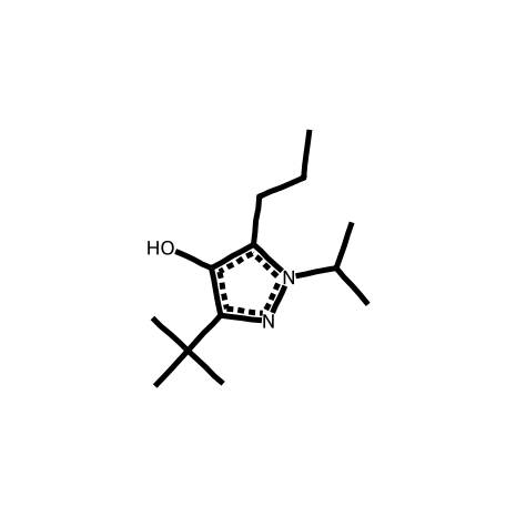 CCCc1c(O)c(C(C)(C)C)nn1C(C)C